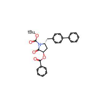 CC(C)(C)OC(=O)N1C(=O)[C@H](OC(=O)c2ccccc2)C[C@H]1Cc1ccc(-c2ccccc2)cc1